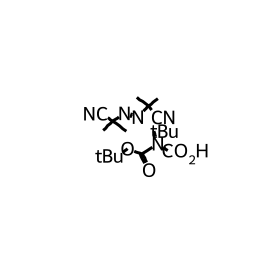 CC(C)(C#N)N=NC(C)(C)C#N.CC(C)(C)OC(=O)N(C(=O)O)C(C)(C)C